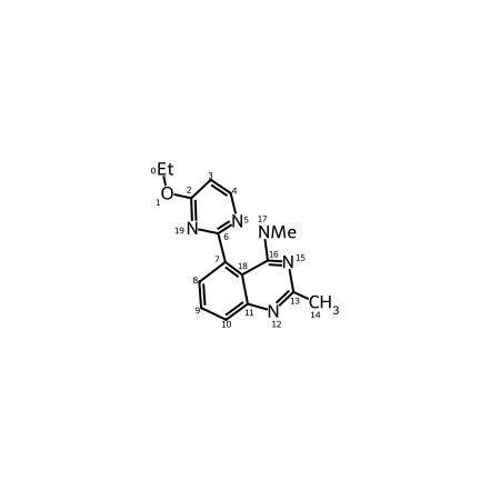 CCOc1ccnc(-c2cccc3nc(C)nc(NC)c23)n1